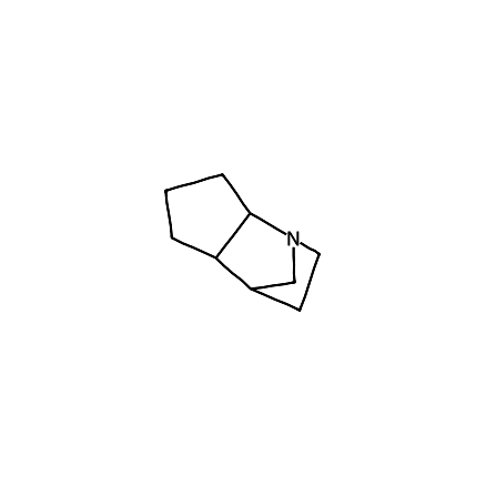 C1CC2C3CCN(C3)C2C1